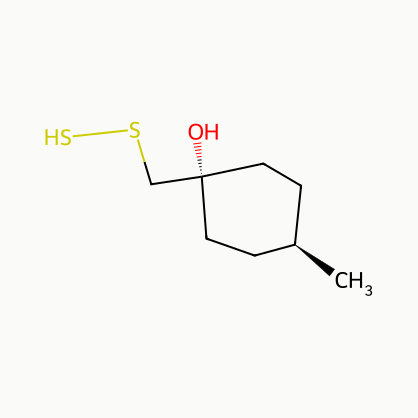 C[C@H]1CC[C@@](O)(CSS)CC1